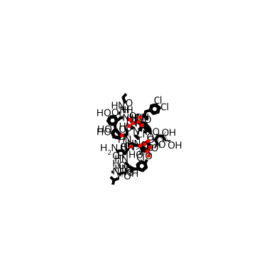 CCC(=O)NNC(=O)[C@@H]1NC(=O)[C@H]2NC(=O)[C@H](NC(=O)[C@@H]3NC(=O)[C@H](CC(N)=O)NC(=O)[C@H](NC(=O)[C@@H](CC(C)C)NC)[C@H](O)c4ccc(c(Cl)c4)Oc4cc3cc(c4O[C@@H]3O[C@H](CO)[C@@H](O)[C@H](O)[C@H]3O[C@H]3C[C@](C)(NCCn4ccc(NC(=O)Cc5ccc(Cl)c(Cl)c5)nc4=O)[C@H](O)[C@H](C)O3)Oc3ccc(cc3Cl)[C@H]2O)c2ccc(O)c(c2)-c2c(O)cc(O)cc21